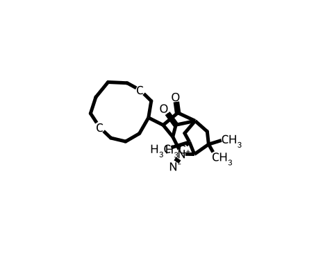 CC1(C)CC23CC(C)(C)C1[N+](=[N-])C(C2=O)C(C1CCCCCCCCCC1)C3=O